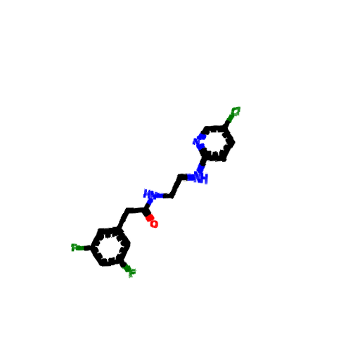 O=C(Cc1cc(F)cc(F)c1)NCCNc1ccc(Cl)cn1